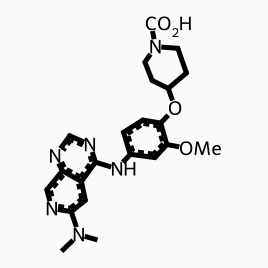 COc1cc(Nc2ncnc3cnc(N(C)C)cc23)ccc1OC1CCN(C(=O)O)CC1